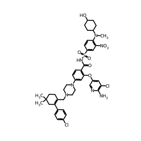 CN(c1ccc(S(=O)(=O)NC(=O)c2ccc(N3CCN(CC4=C(c5ccc(Cl)cc5)CC(C)(C)CC4)CC3)cc2Oc2cnc(N)c(Cl)c2)cc1[N+](=O)[O-])C1CCC(O)CC1